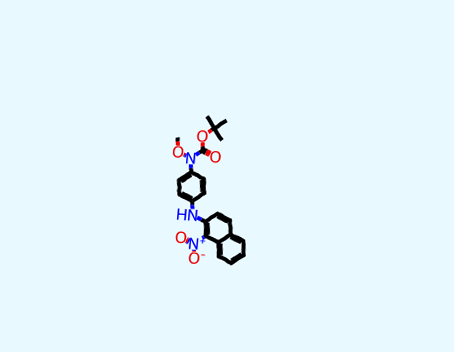 CON(C(=O)OC(C)(C)C)c1ccc(Nc2ccc3ccccc3c2[N+](=O)[O-])cc1